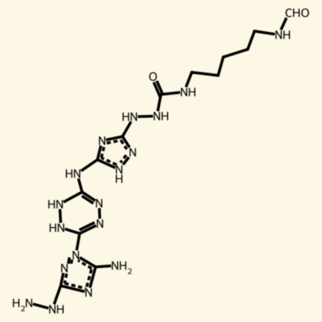 NNc1nc(N)n(C2=NN=C(Nc3nc(NNC(=O)NCCCCCNC=O)n[nH]3)NN2)n1